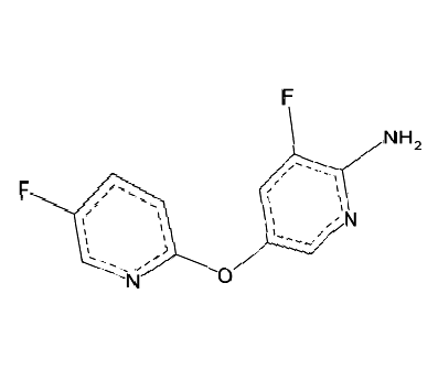 Nc1ncc(Oc2ccc(F)cn2)cc1F